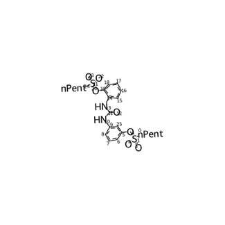 CCCCCS(=O)(=O)Oc1cccc(NC(=O)Nc2ccccc2OS(=O)(=O)CCCCC)c1